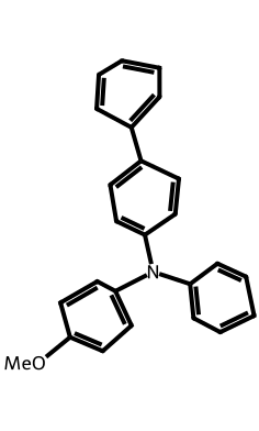 COc1ccc(N(c2ccccc2)c2ccc(-c3ccccc3)cc2)cc1